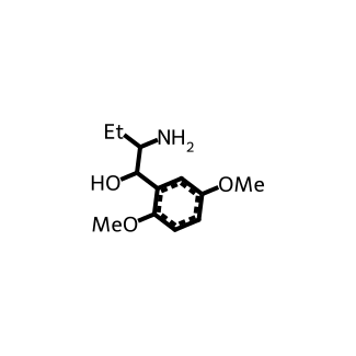 CCC(N)C(O)c1cc(OC)ccc1OC